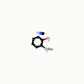 C#N.COc1ccccc1Br